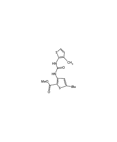 COC(=O)c1sc(C(C)(C)C)cc1NC(=O)Nc1sccc1C